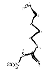 CCCCCCCCCCCCSC(=S)SC(=O)OCC